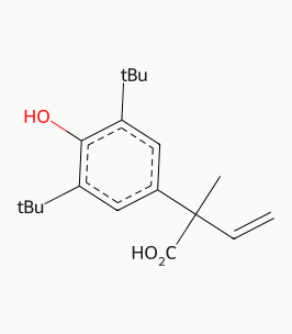 C=CC(C)(C(=O)O)c1cc(C(C)(C)C)c(O)c(C(C)(C)C)c1